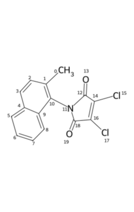 Cc1ccc2ccccc2c1N1C(=O)C(Cl)=C(Cl)C1=O